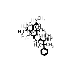 CNC(=O)C(C)=C[C@H](C(C)C)N(C)C(=O)[C@@H](NC(=O)[C@@H](NC)C(C)(C)c1ccccc1)C(C)(C)C